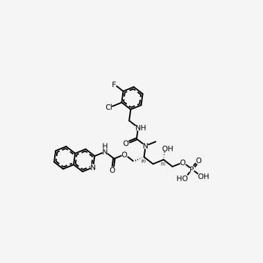 CN(C(=O)NCc1cccc(F)c1Cl)[C@@H](COC(=O)Nc1cc2ccccc2cn1)C[C@H](O)COP(=O)(O)O